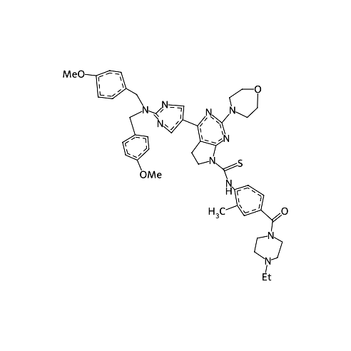 CCN1CCN(C(=O)c2ccc(NC(=S)N3CCc4c(-c5cnc(N(Cc6ccc(OC)cc6)Cc6ccc(OC)cc6)nc5)nc(N5CCOCC5)nc43)c(C)c2)CC1